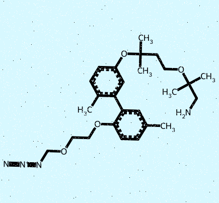 Cc1ccc(OCCOCN=[N+]=[N-])c(-c2cc(OC(C)(C)CCOC(C)(C)CN)ccc2C)c1